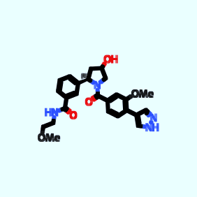 COCCNC(=O)c1cccc([C@H]2CC(O)CN2C(=O)c2ccc(-c3cn[nH]c3)c(OC)c2)c1